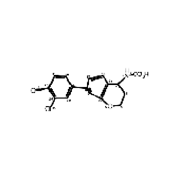 O=C(O)NC1CCOc2cc(-c3ccc(Cl)c(Cl)c3)ccc21